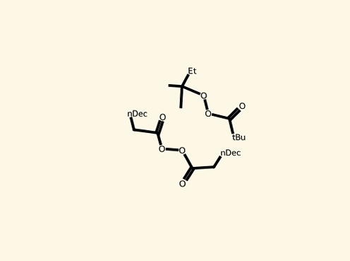 CCC(C)(C)OOC(=O)C(C)(C)C.CCCCCCCCCCCC(=O)OOC(=O)CCCCCCCCCCC